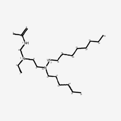 C=C(C)NCN(CC)CCN(CCCCCC)NCCCCCCCC